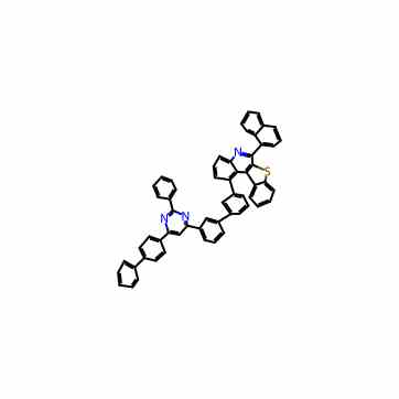 c1ccc(-c2ccc(-c3cc(-c4cccc(-c5cccc(-c6cccc7nc(-c8cccc9ccccc89)c8sc9ccccc9c8c67)c5)c4)nc(-c4ccccc4)n3)cc2)cc1